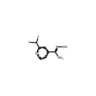 N/C(=N\O)c1ccnc(C(F)F)c1